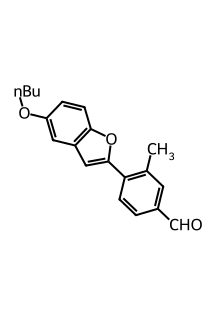 CCCCOc1ccc2oc(-c3ccc(C=O)cc3C)cc2c1